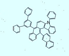 c1ccc(-c2cc(-c3ccccc3)cc(-c3c4ccccc4c(-c4ccc5ccccc5c4)c4c3ccc3c4c4ccccc4n3-c3ccccc3)c2)cc1